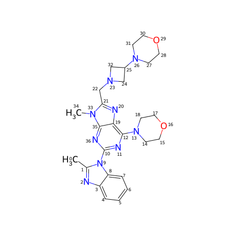 Cc1nc2ccccc2n1-c1nc(N2CCOCC2)c2nc(CN3CC(N4CCOCC4)C3)n(C)c2n1